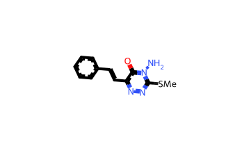 CSc1nnc(C=Cc2ccccc2)c(=O)n1N